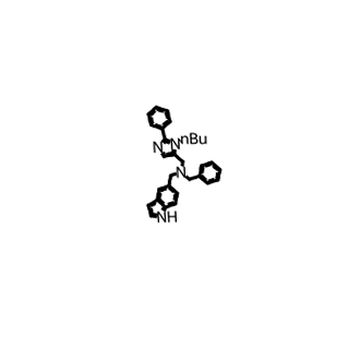 CCCCn1c(CN(Cc2ccccc2)Cc2ccc3[nH]ccc3c2)cnc1-c1ccccc1